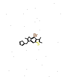 CC1=C(CC2=CC=CC2)c2cc3sc(C)c(C)c3c(Br)c2C1